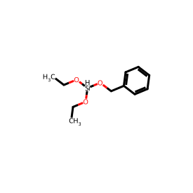 CCO[SiH](OCC)OCc1ccccc1